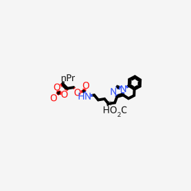 CCCc1oc(=O)oc1COC(=O)NCCC[C@@H](Cc1ncn2c1CCc1ccccc1-2)C(=O)O